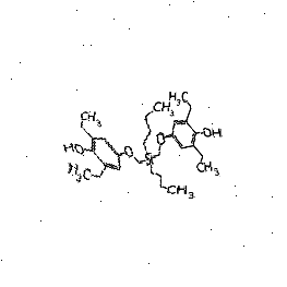 CCCC[Si](CCCC)(COc1cc(CC)c(O)c(CC)c1)COc1cc(CC)c(O)c(CC)c1